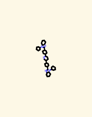 c1ccc(-n2c(-c3ccc(-c4ccc(-c5ccc(-c6nc7ccccc7n6-c6ccccc6)cc5)nc4)cc3)nc3ccccc32)cc1